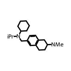 CNC1CCc2cc(CN(C(C)C)C3CCCCC3)ccc2C1